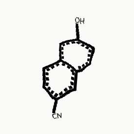 N#Cc1ccc2cc(O)ccc2c1